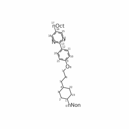 CCCCCCCCCC1CCC(CCCOc2ccc(-c3ncc(CCCCCCCC)cn3)cc2)CC1